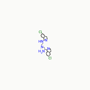 CN(CCNc1nccc2cc(Cl)ccc12)CC(N)c1nccc2cc(Cl)ccc12